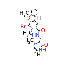 Cc1cc(C)c(CNC(=O)c2cc3c(c(Br)c2C)O[C@@]2(C)CCC[C@@H]32)c(=O)[nH]1